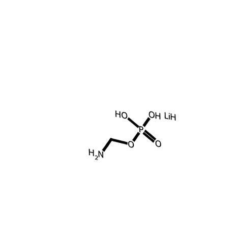 NCOP(=O)(O)O.[LiH]